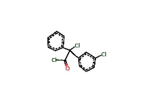 O=C(Cl)C(Cl)(c1ccccc1)c1cccc(Cl)c1